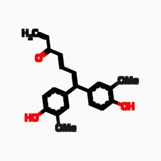 C=CC(=O)C=CC=C(c1ccc(O)c(OC)c1)c1ccc(O)c(OC)c1